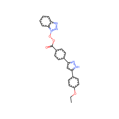 CCOc1ccc(-c2cc(-c3ccc(C(=O)OOn4nnc5ccccc54)cc3)n[nH]2)cc1